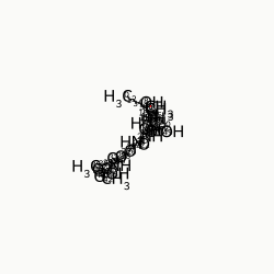 CCCCCC[C@](C)(O)[C@H]1CC[C@H]2[C@@H]3C[C@H](OC(=O)NCC(=O)NCCOCCOCC(=O)Nc4ccc(OC)c(C(C)=O)c4O)[C@H]4C[C@@H](O)CC[C@]4(C)[C@H]3CC[C@@]21C